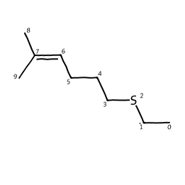 C[CH]SCCCC=C(C)C